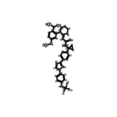 COc1ccc(C(C)C)c(N2CCCS/C2=N\C(=O)NC2(c3ccc(-c4ncn(-c5ccc(OC(F)(F)F)cc5)n4)cc3)CC2)c1